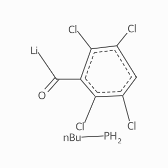 CCCCP.[Li][C](=O)c1c(Cl)c(Cl)cc(Cl)c1Cl